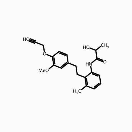 C#CCOc1ccc(CCc2c(C)cccc2NC(=O)C(C)O)cc1OC